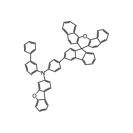 c1ccc(-c2cccc(N(c3ccc(-c4ccc5c(c4)-c4ccccc4C54c5ccc6ccccc6c5Oc5c4ccc4ccccc54)cc3)c3ccc4c(c3)oc3ccccc34)c2)cc1